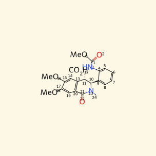 COC(=O)Nc1ccccc1[C@@H]1[C@@H](C(=O)O)c2cc(OC)c(OC)cc2C(=O)N1C